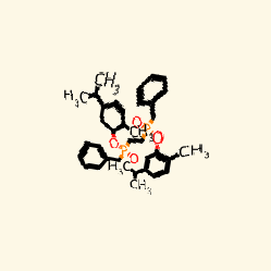 Cc1ccc(C(C)C)cc1OP(=O)(CCP(=O)(Cc1ccccc1)OC1CC(C(C)C)CCC1C)Cc1ccccc1